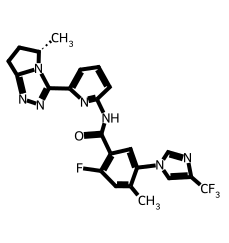 Cc1cc(F)c(C(=O)Nc2cccc(-c3nnc4n3[C@@H](C)CC4)n2)cc1-n1cnc(C(F)(F)F)c1